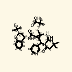 CC1(C)CC(=O)N(C(c2cccnc2)C2C(C(=O)N[C@H]3C[C@H](C(F)(F)F)Oc4ccccc43)C2(C)C)C(=N)N1.O=C(O)C(F)(F)F